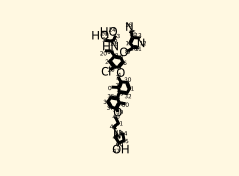 Cc1c(COc2cc(OCc3cncc(C#N)c3)c(C(C)NC(CO)CO)cc2Cl)cccc1-c1cccc(OCCCN2CC[C@@H](O)C2)c1C